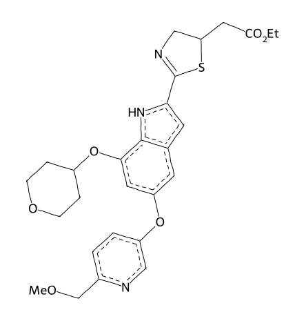 CCOC(=O)CC1CN=C(c2cc3cc(Oc4ccc(COC)nc4)cc(OC4CCOCC4)c3[nH]2)S1